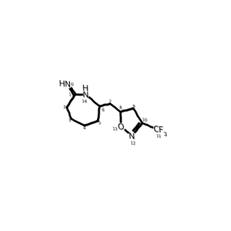 N=C1CCCCC(CC2CC(C(F)(F)F)=NO2)N1